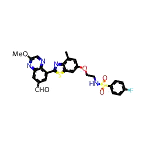 COc1cnc2c(-c3nc4c(C)cc(OCCNS(=O)(=O)c5ccc(F)cc5)cc4s3)cc(C=O)cc2n1